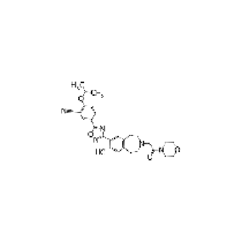 CC(C)Oc1ccc(-c2nc(-c3ccc4c(c3)CCN(CC(=O)N3CCOCC3)CC4)no2)cc1C#N.Cl